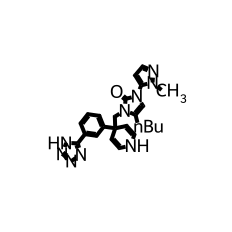 CCCCc1cn(-c2ccnn2C)c(=O)n1CC1(c2cccc(-c3nnn[nH]3)c2)C=CNC=C1